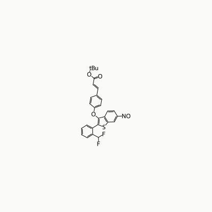 CC(C)(C)OC(=O)/C=C/c1ccc(Oc2c(-c3ccccc3C(F)F)sc3cc(N=O)ccc23)cc1